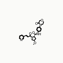 CO[C@@H]1C[C@H](C(=O)Nc2ccc(N3CCOCC3=O)cc2)N(C(=O)/C=C/c2cccnc2)C1